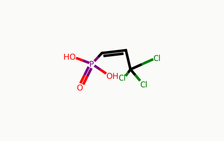 O=P(O)(O)/C=C\C(Cl)(Cl)Cl